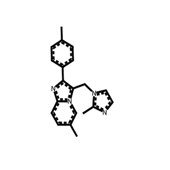 Cc1ccc(-c2nc3ccc(C)cn3c2Cn2ccnc2C)cc1